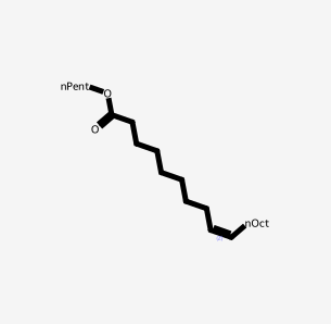 CCCCCCCC/C=C\CCCCCCCC(=O)OCCCCC